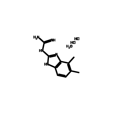 Cc1ccc2[nH]c(NC(=N)N)nc2c1C.Cl.Cl.O